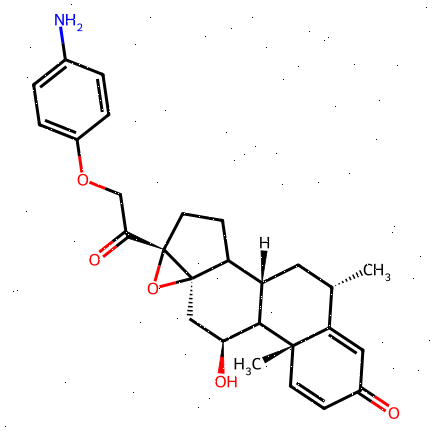 C[C@H]1C[C@@H]2C([C@@H](O)C[C@]34O[C@]3(C(=O)COc3ccc(N)cc3)CCC24)[C@@]2(C)C=CC(=O)C=C12